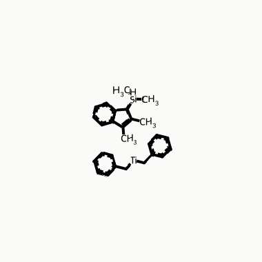 CC1=C(C)C([SiH](C)C)c2ccccc21.c1ccc([CH2][Ti][CH2]c2ccccc2)cc1